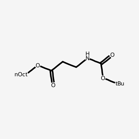 CCCCCCCCOC(=O)CCNC(=O)OC(C)(C)C